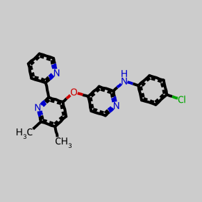 Cc1cc(Oc2ccnc(Nc3ccc(Cl)cc3)c2)c(-c2ccccn2)nc1C